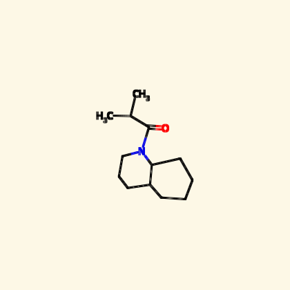 CC(C)C(=O)N1CCCC2CCCCC21